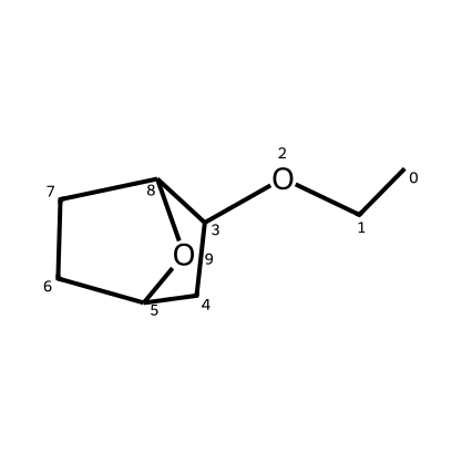 CCOC1CC2CCC1O2